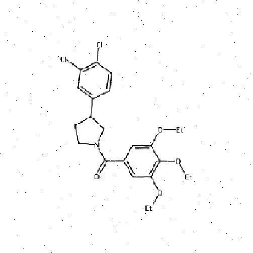 CCOc1cc(C(=O)N2CCC(c3ccc(Cl)c(Cl)c3)C2)cc(OCC)c1OCC